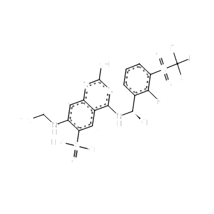 CCNc1cc2nc(C)nc(N[C@H](C)c3cccc(S(=O)(=O)C(F)(F)F)c3F)c2cc1P(C)(C)=O